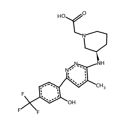 Cc1cc(-c2ccc(C(F)(F)F)cc2O)nnc1N[C@@H]1CCCN(CC(=O)O)C1